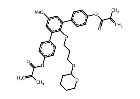 C=C(C)C(=O)Oc1ccc(-c2cc(SC)cc(-c3ccc(OC(=O)C(=C)C)cc3)c2OCCCOC2CCCCO2)cc1